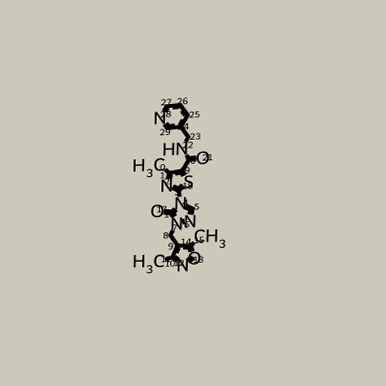 Cc1nc(-n2cnn(Cc3c(C)noc3C)c2=O)sc1C(=O)NCc1cccnc1